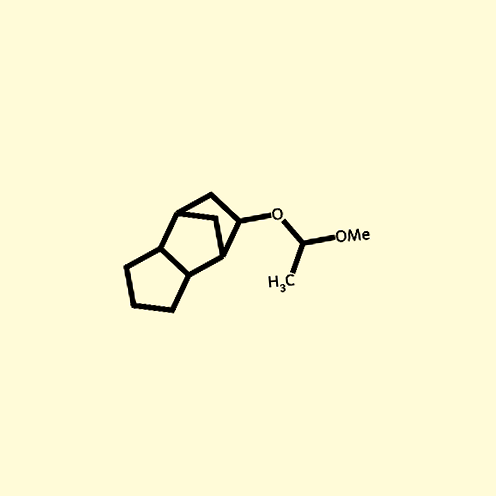 COC(C)OC1CC2CC1C1CCCC21